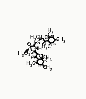 CCOC(=O)C(CSC(C)CC(=O)C1C(C)CC(C)CC1(C)C)N/C(C)=C/C(=O)C1C(C)CC(C)CC1(C)C